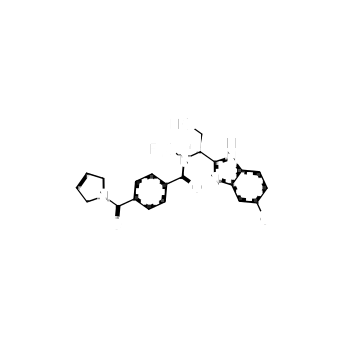 O=C(c1ccc(C(=O)N([C@@H](CO)c2nc3cc(Cl)ccc3[nH]2)C(F)(F)F)cc1)N1CC=CC1